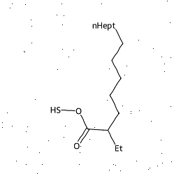 CCCCCCCCCCCCC(CC)C(=O)OS